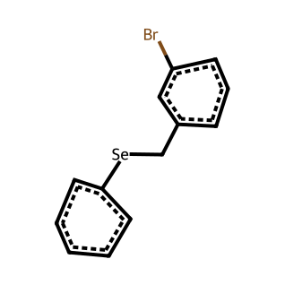 Brc1cccc(C[Se]c2ccccc2)c1